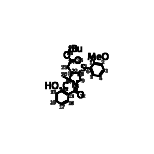 COc1ccccc1S[C@H]1CN(C(=O)c2ccccc2)[C@](C)(C(=O)O)[C@H]1CC(=O)OC(C)(C)C